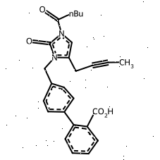 CC#CCc1cn(C(=O)CCCC)c(=O)n1Cc1ccc(-c2ccccc2C(=O)O)cc1